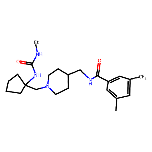 CCNC(=O)NC1(CN2CCC(CNC(=O)c3cc(C)cc(C(F)(F)F)c3)CC2)CCCC1